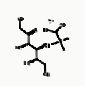 CCC(O)[N+](C)(C)C.O=C(CO)[C@H](O)[C@@H](O)[C@H](O)CO.[Cl-]